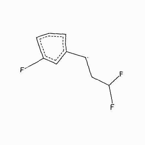 Fc1cccc([CH]CC(F)F)c1